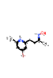 CC(CCc1cc(Br)cc(C)n1)=NO